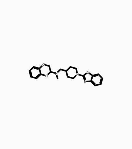 CN(CC1CCN(c2nc3ccccc3s2)CC1)C1COc2ccccc2O1